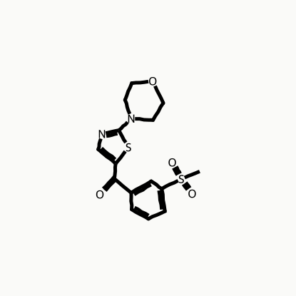 CS(=O)(=O)c1cccc(C(=O)c2cnc(N3CCOCC3)s2)c1